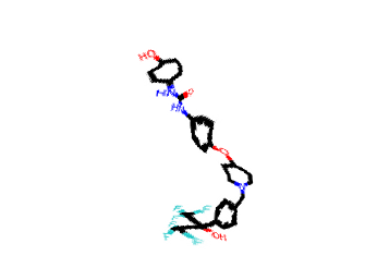 O=C(Nc1ccc(OC2CCN(Cc3ccc(C(O)(C(F)(F)F)C(F)(F)F)cc3)CC2)cc1)NC1CCC(O)CC1